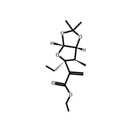 C=C(C(=O)OCC)[C@@]1(CC)O[C@@H]2OC(C)(C)O[C@@H]2[C@H]1C